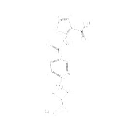 COC1CN(c2ccc(C(=O)Nc3sccc3C(=O)O)cc2)C1